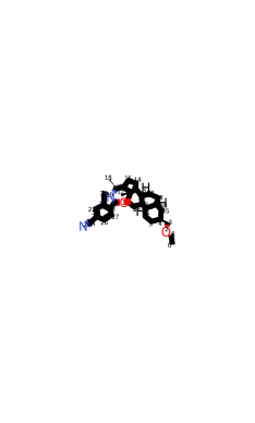 CCOC[C@H]1CC[C@@H]2C3CC[C@@]4(C)C(CCC4[C@@H](C)N4Cc5cc(C#N)ccc5C4=O)[C@@H]3CC[C@@H]2C1